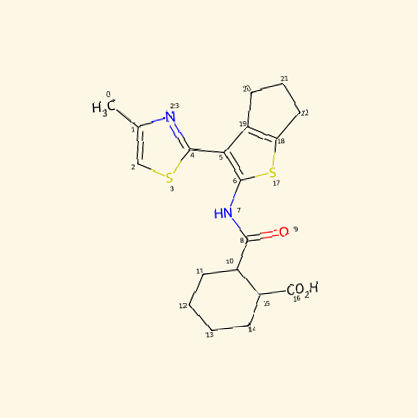 Cc1csc(-c2c(NC(=O)C3CCCCC3C(=O)O)sc3c2CCC3)n1